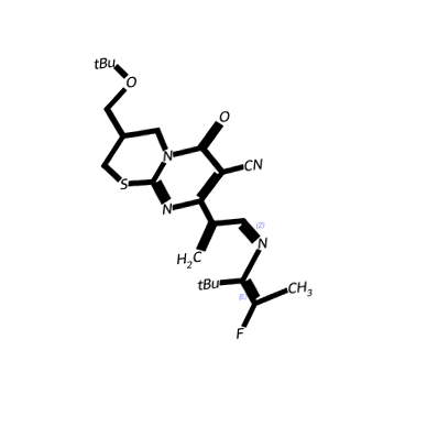 C=C(/C=N\C(=C(/C)F)C(C)(C)C)c1nc2n(c(=O)c1C#N)CC(COC(C)(C)C)CS2